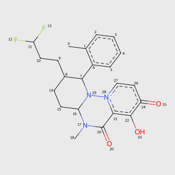 Cc1ccccc1C1C(CCC(F)F)CCC2N(C)C(=O)c3c(O)c(=O)ccn3N12